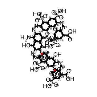 Nc1c(/N=N\c2ccc3c(O)c(/N=N\c4ccc(S(=O)(=O)O)cc4C(=O)O)c(S(=O)(=O)O)cc3c2S(=O)(=O)O)cc(S(=O)(=O)O)c2cc(S(=O)(=O)O)c(/N=N\c3ccc4c(O)c(/N=N\c5ccc(S(=O)(=O)O)cc5C(=O)O)c(S(=O)(=O)O)cc4c3S(=O)(=O)O)c(O)c12